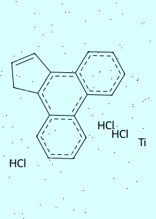 C1=Cc2c(c3ccccc3c3ccccc23)C1.Cl.Cl.Cl.[Ti]